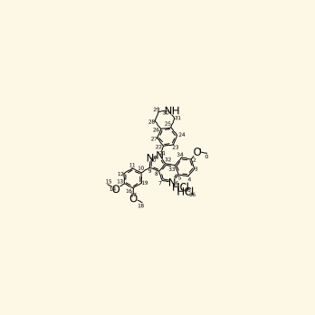 COc1ccc2ncc3c(-c4ccc(OC)c(OC)c4)nn(-c4ccc5c(c4)CCNC5)c3c2c1.Cl.Cl